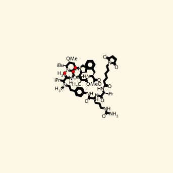 CC[C@H](C)C([C@@H](CC(=O)N1CCC[C@H]1[C@H](OC)[C@@H](C)C(=O)N[C@@H](Cc1ccccc1)C(=O)OC)OC)N(C)C(=O)[C@@H](NC(=O)C(C(C)C)N(C)CCc1ccc(NC(=O)[C@H](CCCNC(N)=O)NC(=O)[C@@H](NC(=O)CCCCCN2C(=O)C=CC2=O)C(C)C)cc1)C(C)C